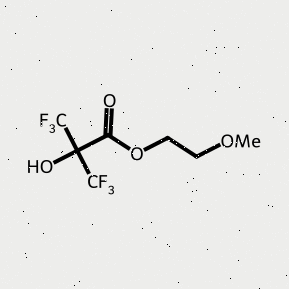 COCCOC(=O)C(O)(C(F)(F)F)C(F)(F)F